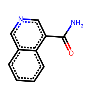 NC(=O)c1cncc2ccccc12